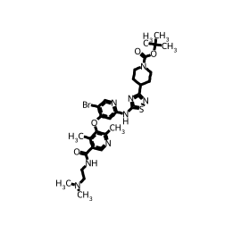 Cc1ncc(C(=O)NCCN(C)C)c(C)c1Oc1cc(Nc2nc(C3CCN(C(=O)OC(C)(C)C)CC3)ns2)ncc1Br